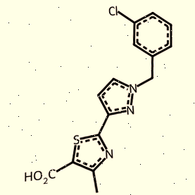 Cc1nc(-c2ccn(Cc3cccc(Cl)c3)n2)sc1C(=O)O